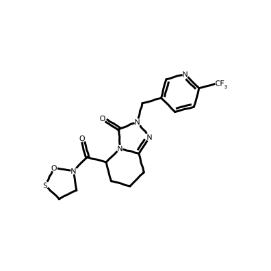 O=C(C1CCCc2nn(Cc3ccc(C(F)(F)F)nc3)c(=O)n21)N1CCSO1